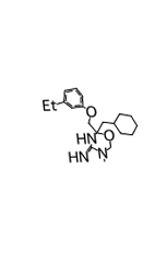 CCc1cccc(OCC2(CC3CCCCC3)NC(=N)N(C)CO2)c1